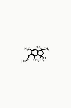 CCC1(C)CC(C)(C)c2cc(C)c(C=NO)c(C)c21